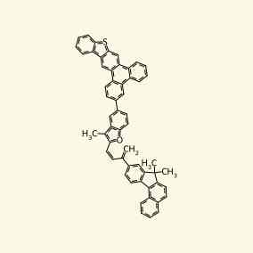 C=C(/C=C\c1oc2ccc(-c3ccc4c(c3)c3ccccc3c3cc5sc6ccccc6c5cc43)cc2c1C)c1ccc2c(c1)C(C)(C)c1ccc3ccccc3c1-2